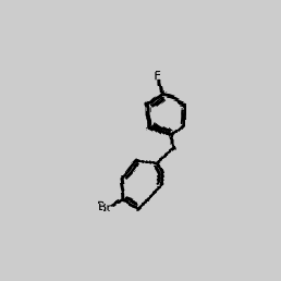 Fc1ccc(Cc2ccc(Br)cc2)cc1